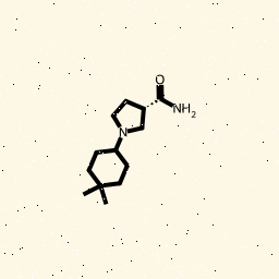 CC1(C)CCC(N2CC[C@H](C(N)=O)C2)CC1